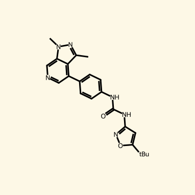 Cc1nn(C)c2cncc(-c3ccc(NC(=O)Nc4cc(C(C)(C)C)on4)cc3)c12